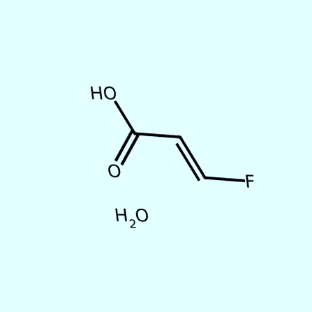 O.O=C(O)C=CF